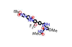 COC(=O)NCC(=O)N1C[C@@H](OC)CC1c1nc(-c2ccc(-c3ccc(NC(=O)N4CCC(N5CCN(C(=O)OC(C)(C)C)CC5)CC4)cc3OC(F)(F)F)cc2)c[nH]1